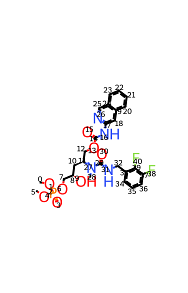 COP(=O)(OC)OC[C@@H](O)C[C@@H](COC(=O)Nc1cc2ccccc2cn1)N(C)C(=O)NCc1cccc(F)c1F